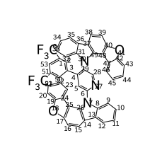 FC(F)(F)c1cc(-c2cc(-n3c4ccccc4c4ccc5oc6ccccc6c5c43)ncc2-n2c3ccccc3c3ccc4oc5ccccc5c4c32)cc(C(F)(F)F)c1